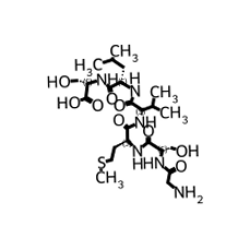 CSCC[C@H](NC(=O)[C@H](CO)NC(=O)CN)C(=O)N[C@H](C(=O)N[C@@H](CC(C)C)C(=O)N[C@@H](CO)C(=O)O)C(C)C